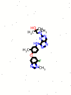 Cc1cc(Nc2ncnc3cnc(N(C)CC(C)(C)O)nc23)ccc1Oc1cc(F)c2c(c1)ncn2C